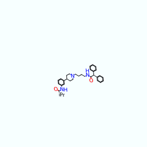 CC(C)C(=O)Nc1cccc(C2CCN(CCCCNC(=O)C(c3ccccc3)c3ccccc3)CC2)c1